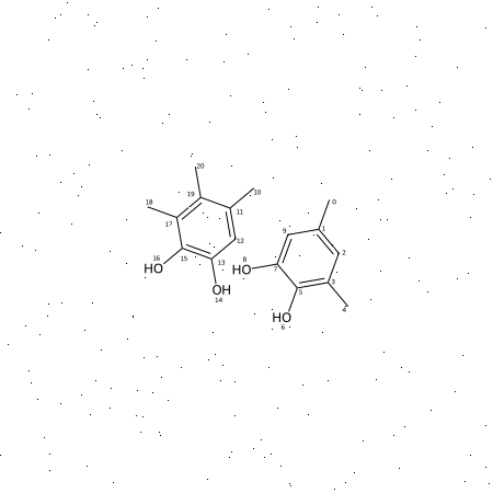 Cc1cc(C)c(O)c(O)c1.Cc1cc(O)c(O)c(C)c1C